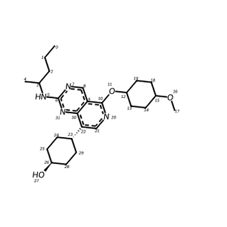 CCCC(C)Nc1ncc2c(OC3CCC(OC)CC3)ncc([C@H]3CC[C@H](O)CC3)c2n1